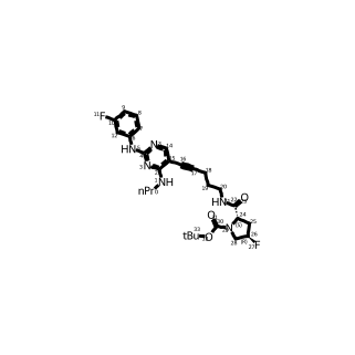 CCCNc1nc(Nc2cccc(F)c2)ncc1C#CCCCNC(=O)[C@@H]1C[C@@H](F)CN1C(=O)OC(C)(C)C